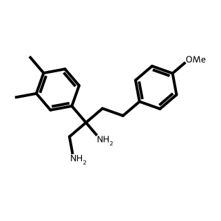 COc1ccc(CCC(N)(CN)c2ccc(C)c(C)c2)cc1